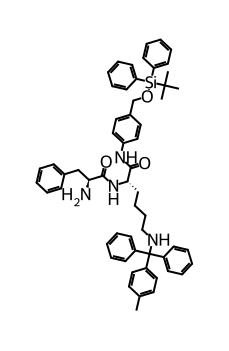 Cc1ccc(C(NCCCC[C@H](NC(=O)[C@@H](N)Cc2ccccc2)C(=O)Nc2ccc(CO[Si](c3ccccc3)(c3ccccc3)C(C)(C)C)cc2)(c2ccccc2)c2ccccc2)cc1